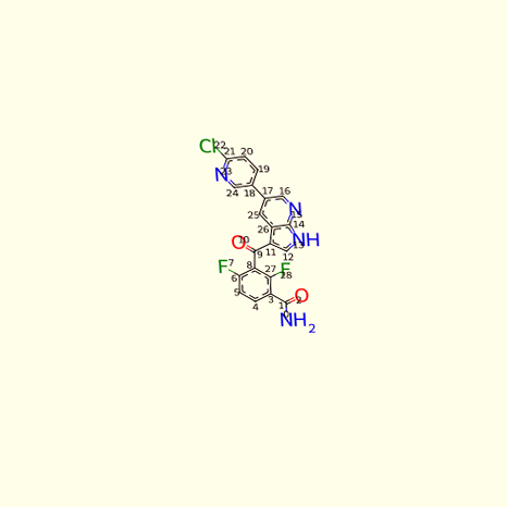 NC(=O)c1ccc(F)c(C(=O)c2c[nH]c3ncc(-c4ccc(Cl)nc4)cc23)c1F